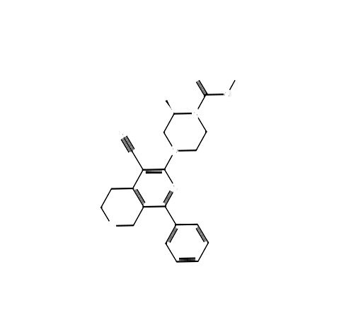 CNC(=O)N1CCN(c2nc(-c3ccccc3)c3c(c2C#N)CCOC3)C[C@H]1C